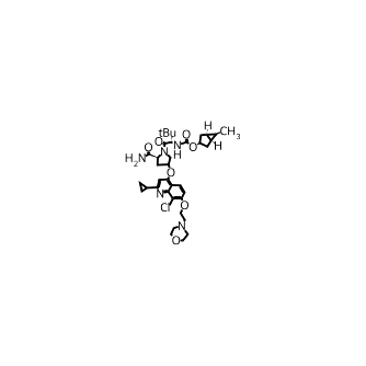 C[C@H]1[C@H]2C[C@@H](OC(=O)N[C@H](C(=O)N3CC(Oc4cc(C5CC5)nc5c(Cl)c(OCCN6CCOCC6)ccc45)C[C@H]3C(N)=O)C(C)(C)C)C[C@@H]12